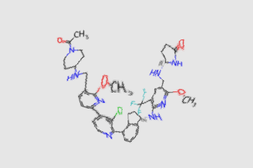 COc1nc(-c2ccnc(-c3cccc4c3CC[C@@H]4Nc3nc(OC)c(CN[C@@H]4CCC(=O)N4)cc3C(F)(F)F)c2Cl)ccc1CNC1CCN(C(C)=O)CC1